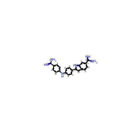 N=C(N)c1ccc(Nc2ccc(-c3cc4ccc(C(=N)N)cc4[nH]3)cc2)cc1